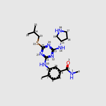 CNC(=O)c1ccc(C)c(Nc2nc(N[C@H]3CCNC3)nc(SCC(C)C)n2)c1